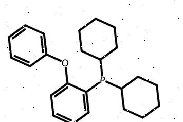 c1ccc(Oc2ccccc2P(C2CCCCC2)C2CCCCC2)cc1